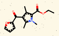 CCOC(=O)c1c(C)c(C(=O)c2ccco2)c(C)n1C